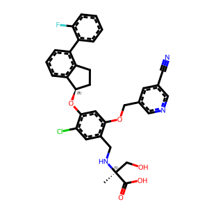 C[C@@](CO)(NCc1cc(Cl)c(O[C@@H]2CCc3c(-c4ccccc4F)cccc32)cc1OCc1cncc(C#N)c1)C(=O)O